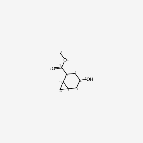 COC(=O)C1CC(O)CC2CC21